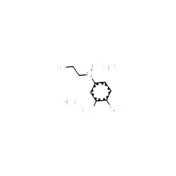 CCCCCCCN(CCO)c1ccc(N=O)c(O)c1.Cl